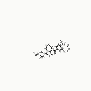 COc1ccc(-c2cnc3n2C=CCC=C3Nc2ccc3c(c2)CCCCCC3=O)cc1F